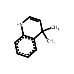 CC1(C)C=CNc2ccccc21